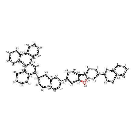 c1ccc2cc(-c3ccc4c(c3)oc3cc(-c5ccc6ccc(-c7cc8c9ccccc9c9ccccc9c8c8ccccc78)cc6c5)ccc34)ccc2c1